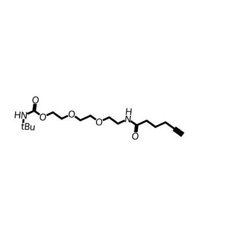 C#CCCCC(=O)NCCOCCOCCOC(=O)NC(C)(C)C